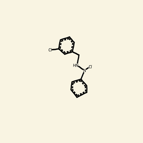 Clc1cccc(CNN(Cl)c2ccccc2)c1